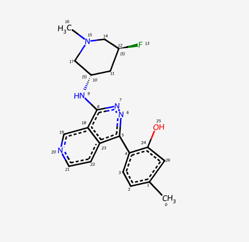 Cc1ccc(-c2nnc(N[C@H]3C[C@H](F)CN(C)C3)c3cnccc23)c(O)c1